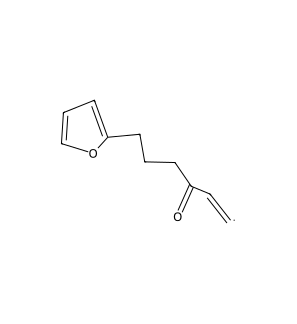 [CH]=CC(=O)CCCc1ccco1